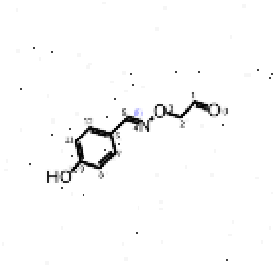 O=CCO/N=C/c1ccc(O)cc1